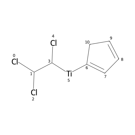 ClC(Cl)[CH](Cl)[Ti][C]1=CC=CC1